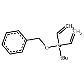 C=C[Si](C=C)(OCc1ccccc1)C(C)(C)C